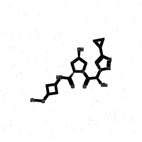 CC(C)OC1CC(NC(=O)[C@@H]2C[C@@H](O)CN2C(=O)[C@@H](n2cc(C3CC3)nn2)C(C)(C)C)C1